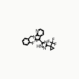 Fc1ccccc1Cn1nc(-c2nc(C3(C(F)(F)F)CC3)n[nH]2)c2cccnc21